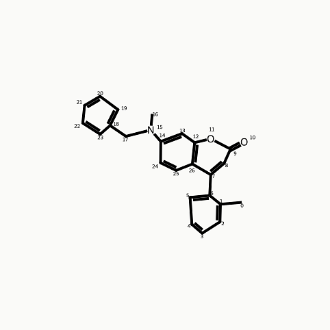 Cc1ccccc1-c1cc(=O)oc2cc(N(C)Cc3ccccc3)ccc12